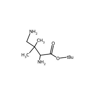 CC(C)(C)OC(=O)C(N)C(C)(C)CN